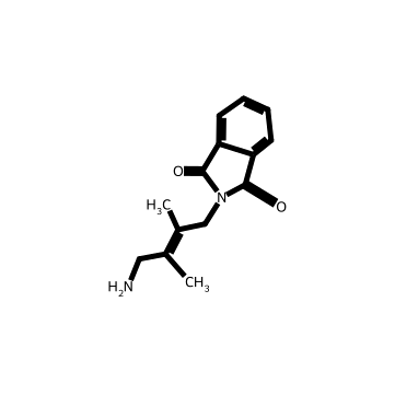 C/C(CN)=C(/C)CN1C(=O)c2ccccc2C1=O